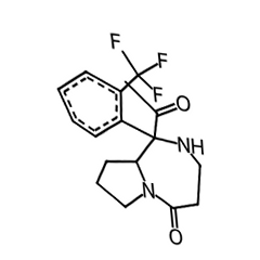 CC(=O)C1(c2ccccc2C(F)(F)F)NCCC(=O)N2CCCC21